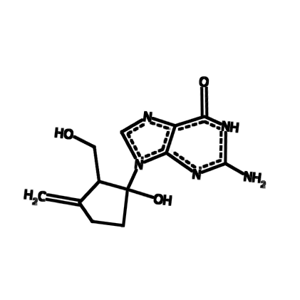 C=C1CCC(O)(n2cnc3c(=O)[nH]c(N)nc32)C1CO